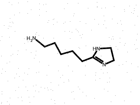 NCCCCCC1=NCCN1